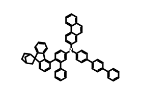 c1ccc(-c2ccc(-c3ccc(N(c4ccc(-c5cccc6c5-c5ccccc5C65CC6CCC5C6)c(-c5ccccc5)c4)c4ccc5c(ccc6ccccc65)c4)cc3)cc2)cc1